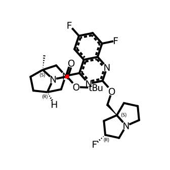 CC(C)(C)OC(=O)N1[C@@H]2CC[C@@]1(C)CN(c1nc(OC[C@@]34CCCN3C[C@H](F)C4)nc3c(F)cc(F)cc13)C2